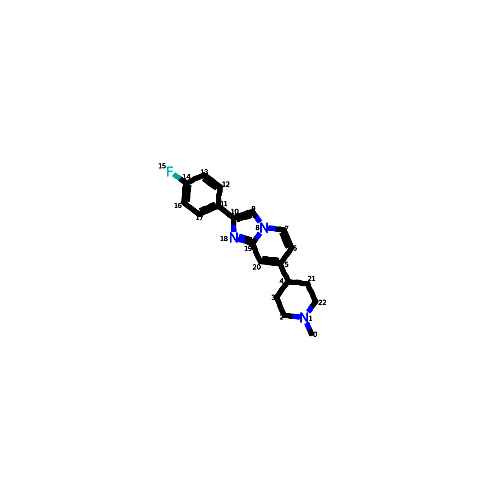 CN1CCC(c2ccn3cc(-c4ccc(F)cc4)nc3c2)CC1